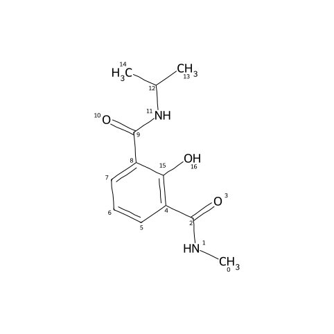 CNC(=O)c1cccc(C(=O)NC(C)C)c1O